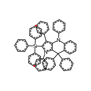 c1ccc(-c2c3c(n(-c4ccccc4)c2[Si](c2ccccc2)(c2ccccc2)c2ccccc2)C(c2ccccc2)(c2ccccc2)c2ccccc2N3c2ccccc2)cc1